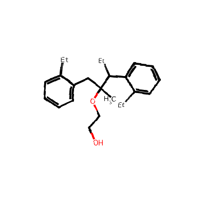 CCc1ccccc1CC(C)(OCCO)C(CC)c1ccccc1CC